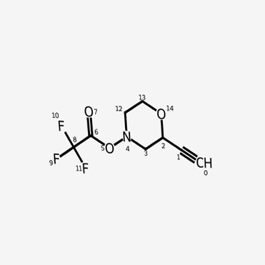 C#CC1CN(OC(=O)C(F)(F)F)CCO1